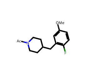 COc1ccc(F)c(CC2CCN(C(C)=O)CC2)c1